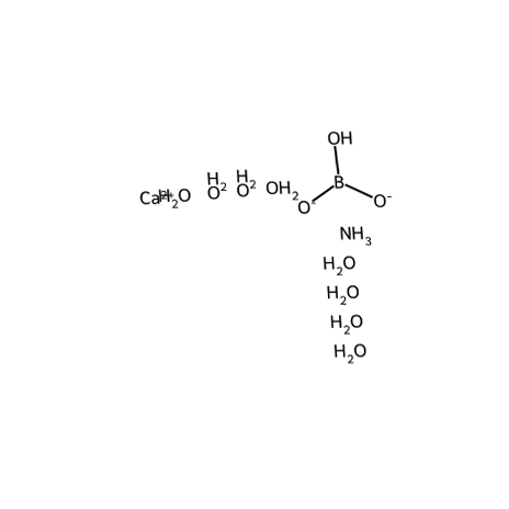 N.O.O.O.O.O.O.O.O.[Ca+2].[O-]B([O-])O